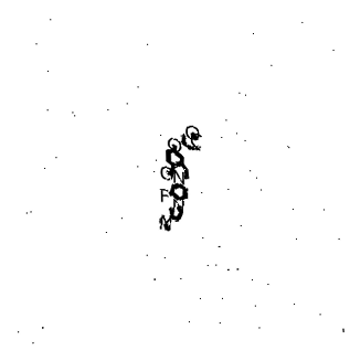 CN(C)[C@@H]1CCN(c2ccc(N3CCc4cc(OC5CCCOC5)ccc4C3=O)cc2F)C1